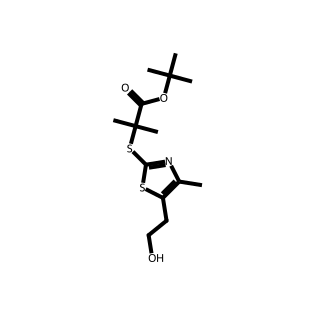 Cc1nc(SC(C)(C)C(=O)OC(C)(C)C)sc1CCO